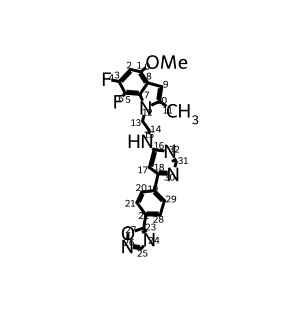 COc1cc(F)c(F)c2c1cc(C)n2CCNc1cc(-c2ccc(-c3ncno3)cc2)ncn1